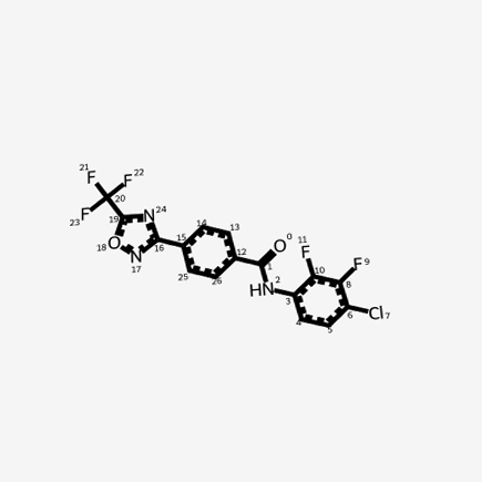 O=C(Nc1ccc(Cl)c(F)c1F)c1ccc(-c2noc(C(F)(F)F)n2)cc1